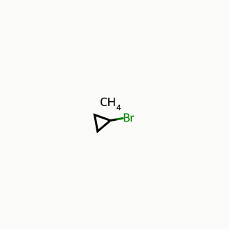 BrC1CC1.C